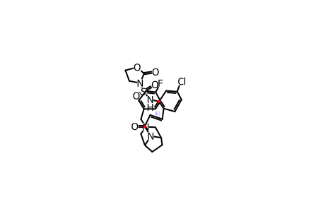 O=C(/C=C/c1ccc(Cl)cc1NS(=O)(=O)N1CCOC1=O)N1C2CCC1CN(Cc1ccc(F)cc1)C2